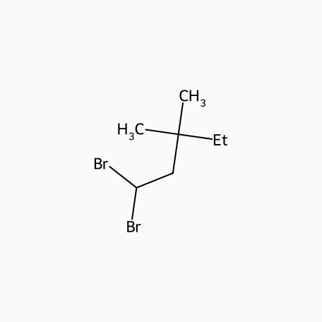 CCC(C)(C)CC(Br)Br